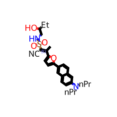 CCCN(CCC)c1ccc2cc(-c3ccc(/C(C)=C(\C#N)S(=O)(=O)NCC(O)CC)o3)ccc2c1